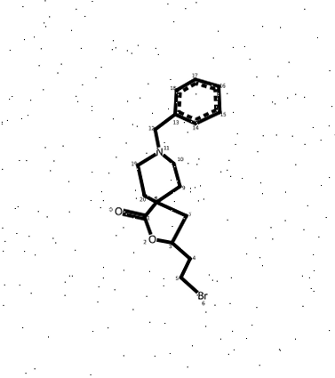 O=C1OC(CCBr)CC12CCN(Cc1ccccc1)CC2